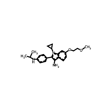 COCCOc1ccc2c(N)c(-c3ccc(NC(C)C)cc3)n(C3CC3)c2c1